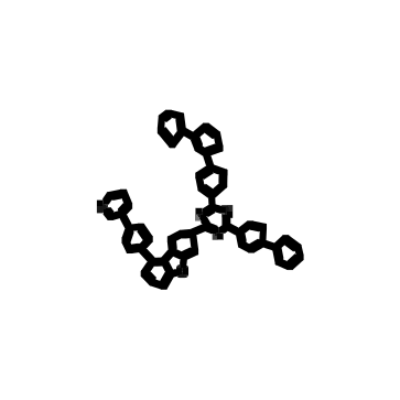 c1ccc(-c2ccc(-c3nc(-c4ccc(-c5cccc(-c6ccccc6)c5)cc4)nc(-c4ccc5c(c4)oc4cccc(-c6ccc(-c7cccnc7)cc6)c45)n3)cc2)cc1